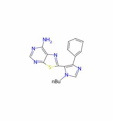 CCCCn1cnc(-c2ccccc2)c1-c1nc2c(N)ncnc2s1